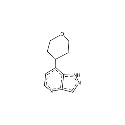 c1cc(C2CCOCC2)c2[nH]ncc2n1